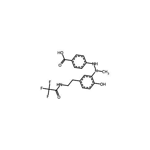 CN(Nc1ccc(C(=O)O)cc1)c1cc(CCNC(=O)C(F)(F)F)ccc1O